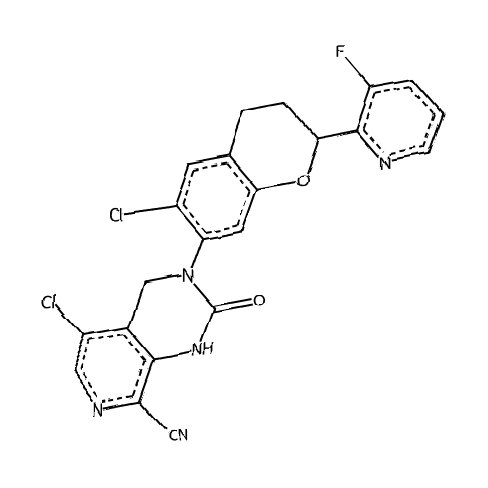 N#Cc1ncc(Cl)c2c1NC(=O)N(c1cc3c(cc1Cl)CCC(c1ncccc1F)O3)C2